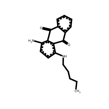 CCCCCNc1ccc(N)c2c1C(=O)c1ccccc1C2=O